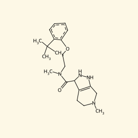 CN1CCC2=C(C1)NNC2C(=O)N(C)CCOc1ccccc1C(C)(C)C